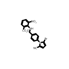 CCOC(=O)c1cccc([N+](=O)[O-])c1NCc1ccc(-n2c(Br)ccc2C#N)cc1